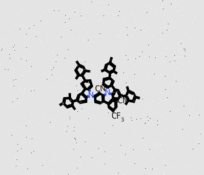 Cc1cc(C)c(-c2ccc3c(c2)c2cc(-c4c(C)cc(C)cc4C)ccc2n3-c2ccc(-c3cc(C#N)cc(C(F)(F)F)c3)c(-n3c4ccc(-c5c(C)cc(C)cc5C)cc4c4cc(-c5c(C)cc(C)cc5C)ccc43)c2C#N)c(C)c1